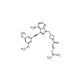 COc1cc(C#Cc2nn(CC3CN(C(=O)/C=C/CN(C)C)C3)c3ncnc(N)c23)cc(OC)c1